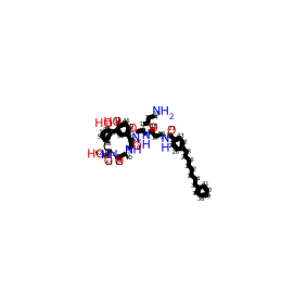 C[C@@H]1NC(=O)[C@@H](N(C)C(=O)[C@H](CCCCN)NC(=O)CCNC(=O)c2ccc(CCCCCCCCc3ccccc3)cc2)c2ccc(O)c(c2)-c2cc(ccc2O)C[C@@H](C(=O)O)NC1=O